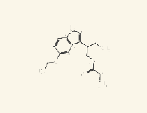 CCOc1ccc2[nH]cc(C(CC)CNC(=O)CC)c2c1